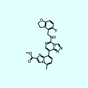 COC(=O)c1cn2c(C)ccc(-c3cnc(NCc4c(F)ccc5c4CCO5)n4cnnc34)c2n1